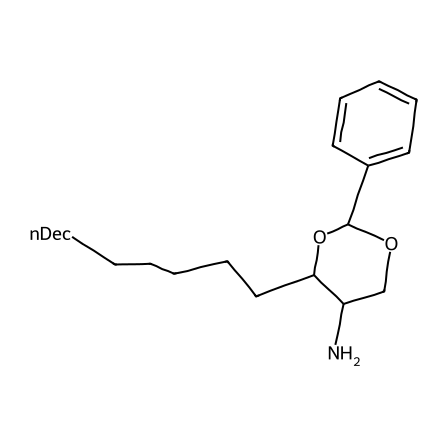 CCCCCCCCCCCCCCCC1OC(c2ccccc2)OCC1N